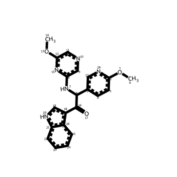 COc1ccc(C(Nc2cncc(OC)n2)C(=O)c2c[nH]c3ccccc23)cn1